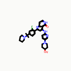 CC(C)(c1ccc(-c2cc(Nc3ccc(N4CCC(O)CC4)cn3)c3c(=O)[nH]ccc3n2)c(F)c1)N1CCCCC1